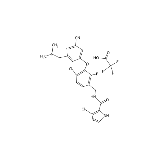 CN(C)Cc1cc(C#N)cc(Oc2c(Cl)ccc(CNC(=O)c3[nH]cnc3Cl)c2F)c1.O=C(O)C(F)(F)F